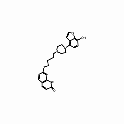 O=c1ccc2ccc(OCCCCN3CCN(c4ccc(O)c5sccc45)CC3)cc2[nH]1